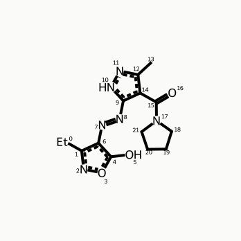 CCc1noc(O)c1N=Nc1[nH]nc(C)c1C(=O)N1CCCC1